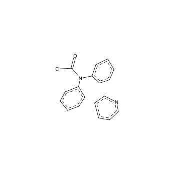 O=C(Cl)N(c1ccccc1)c1ccccc1.c1ccncc1